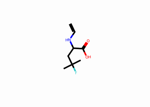 C=CNC(CC(C)(C)F)C(=O)O